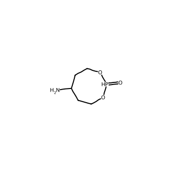 NC1CCO[PH](=O)OCC1